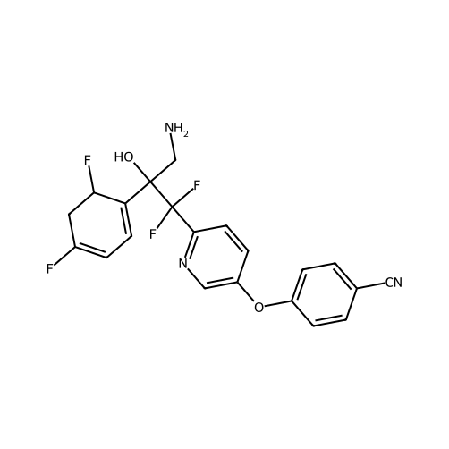 N#Cc1ccc(Oc2ccc(C(F)(F)C(O)(CN)C3=CC=C(F)CC3F)nc2)cc1